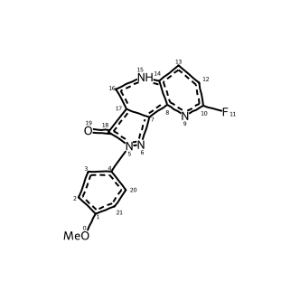 COc1ccc(-n2nc3c4nc(F)ccc4[nH]cc-3c2=O)cc1